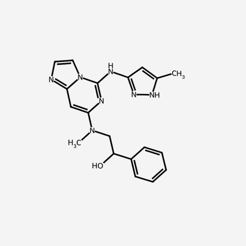 Cc1cc(Nc2nc(N(C)CC(O)c3ccccc3)cc3nccn23)n[nH]1